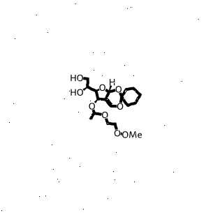 COOCCOC(C)O[C@@H]1C2=COC3(CCCCC3)O[C@H]2O[C@@H]1[C@@H](O)CO